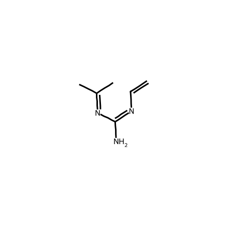 C=C/N=C(/N)N=C(C)C